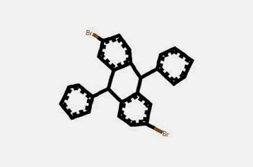 Brc1ccc2c(c1)C(c1ccccc1)c1ccc(Br)cc1C2c1ccccc1